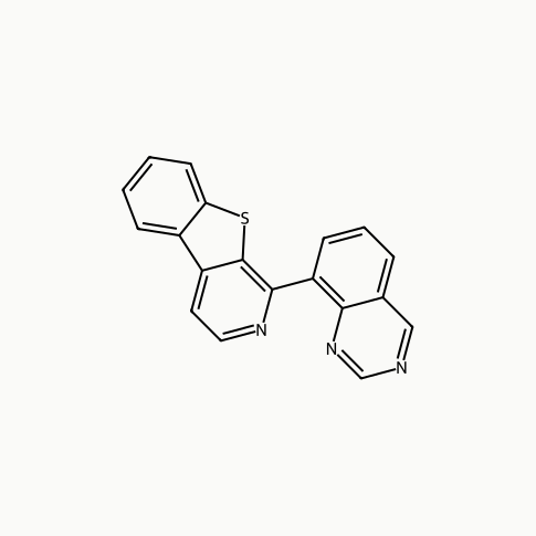 c1cc(-c2nccc3c2sc2ccccc23)c2ncncc2c1